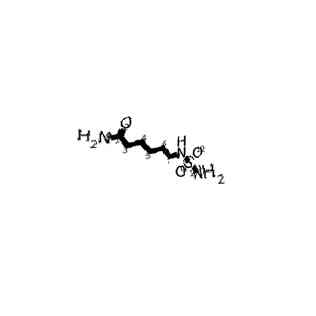 NC(=O)CCCCCNS(N)(=O)=O